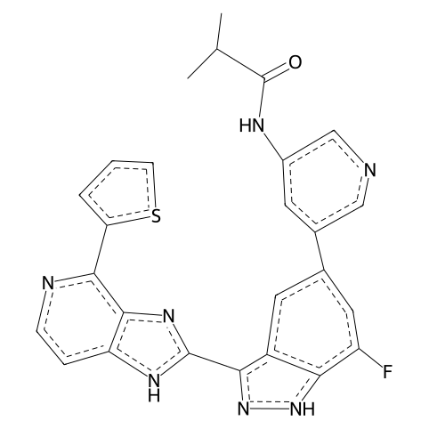 CC(C)C(=O)Nc1cncc(-c2cc(F)c3[nH]nc(-c4nc5c(-c6cccs6)nccc5[nH]4)c3c2)c1